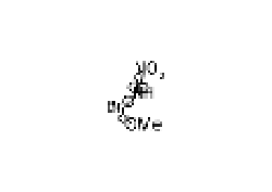 COc1cccc(C(Br)COCCNS(=O)(=O)c2ccc([N+](=O)[O-])cc2)c1